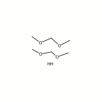 COCOC.COCOC.[HH]